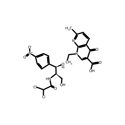 CCn1cc(C(=O)O)c(=O)c2ccc(C)nc21.O=C(N[C@H](CO)[C@H](O)c1ccc([N+](=O)[O-])cc1)C(Cl)Cl